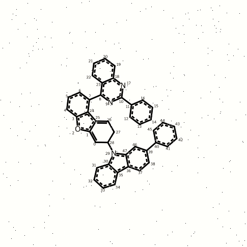 C1=c2oc3cccc(-c4nc(-c5ccccc5)nc5ccccc45)c3c2=CCC1n1c2ccccc2c2ccc(-c3ccccc3)cc21